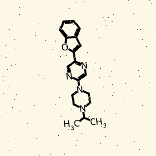 CC(C)N1CCN(c2cnc(-c3cc4ccccc4o3)cn2)CC1